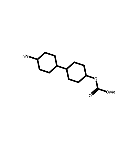 CCCC1CCC(C2CCC(OC(=O)OC)CC2)CC1